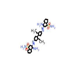 CCc1cc(/N=N/c2cc(S(N)(=O)=O)c3ccccc3c2N)ccc1-c1ccc(/N=N/c2cc(S(N)(=O)=O)c3ccccc3c2N)cc1CC